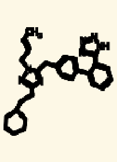 CC=CCn1nc(CCC2CCCCC2)nc1Cc1ccc(-c2ccccc2-c2nnn[nH]2)cc1